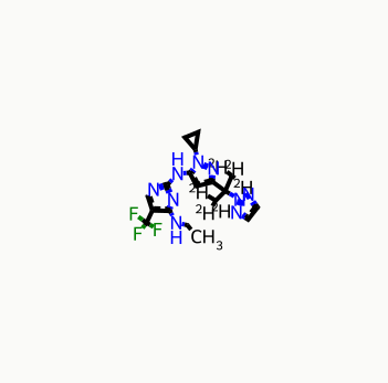 [2H]C([2H])([2H])C(c1cc(Nc2ncc(C(F)(F)F)c(NCC)n2)n(C2CC2)n1)(n1nccn1)C([2H])([2H])[2H]